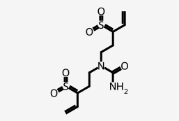 C=CC(CCN(CCC(C=C)=S(=O)=O)C(N)=O)=S(=O)=O